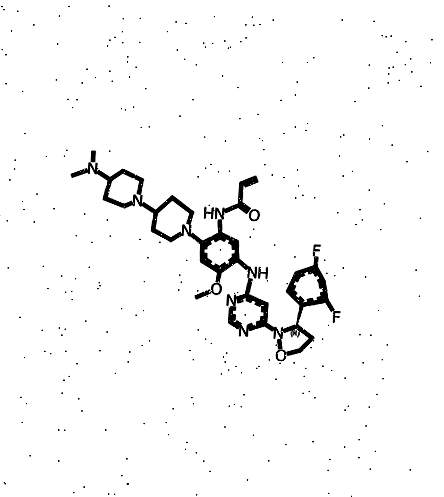 C=CC(=O)Nc1cc(Nc2cc(N3OCC[C@@H]3c3ccc(F)cc3F)ncn2)c(OC)cc1N1CCC(N2CCC(N(C)C)CC2)CC1